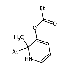 CCC(=O)OC1=CC=CNC1(C)C(C)=O